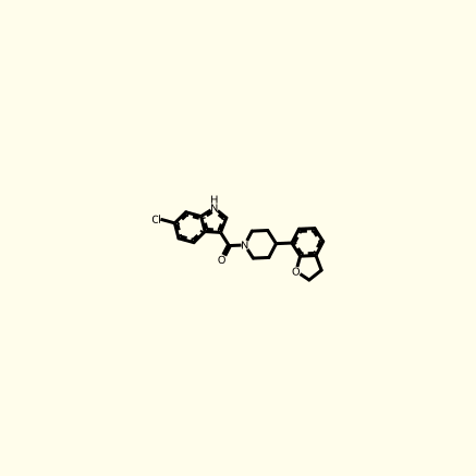 O=C(c1c[nH]c2cc(Cl)ccc12)N1CCC(c2cccc3c2OCC3)CC1